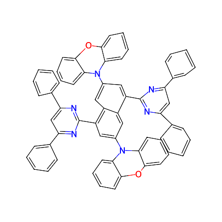 c1ccc(-c2cc(-c3ccccc3)nc(-c3cc(N4c5ccccc5Oc5ccccc54)cc4c(-c5nc(-c6ccccc6)cc(-c6ccccc6)n5)cc(N5c6ccccc6Oc6ccccc65)cc34)n2)cc1